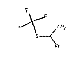 [CH2]CC(C)SC(F)(F)F